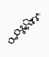 O=C(O)Cn1ncc2c1CCCC2NS(=O)(=O)c1cccc(Oc2ccccc2)c1